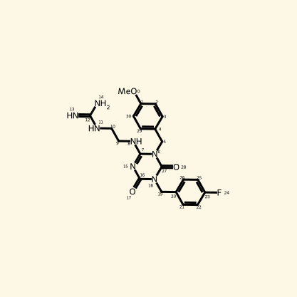 COc1ccc(Cn2c(NCCNC(=N)N)nc(=O)n(Cc3ccc(F)cc3)c2=O)cc1